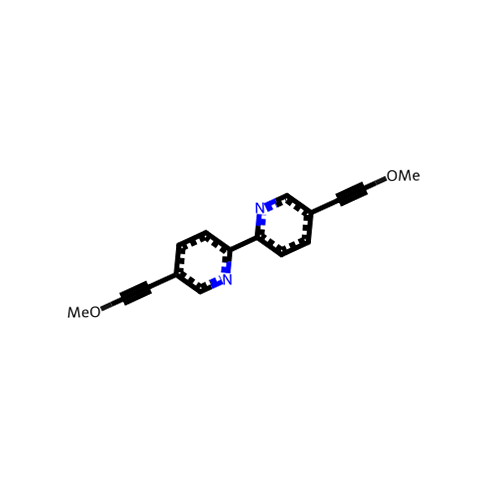 COC#Cc1ccc(-c2ccc(C#COC)cn2)nc1